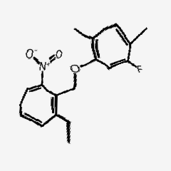 CCc1cccc([N+](=O)[O-])c1COc1cc(F)c(C)cc1C